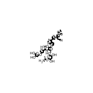 CCS(=O)(=O)N1CC(CC#N)(n2cc(-c3ncnc4c3ccn4[C@H]3O[C@@H](CO[C@H]4OC(OC(N)=S)C(O)C[C@@H]4O)C(NC(=O)C4C[C@@H](O[C@@H]5C[C@H](O)[C@H](O)O5)CN4)[C@@H]3O)cn2)C1